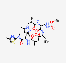 CCC(Cn1nc(C)cc1C)C(=O)NC(CNC(=O)OC(C)(C)C)C(=O)NC(CC(C)C)C(O)CC(C)C(=O)NC(C(=O)N(C)c1nc(C)cs1)C(C)C